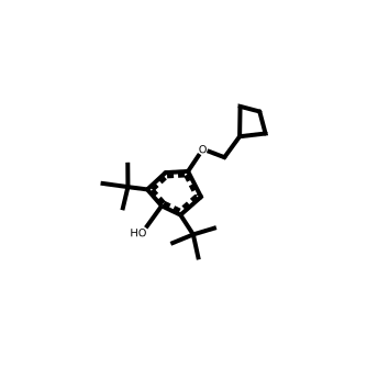 CC(C)(C)c1cc(OCC2CCC2)cc(C(C)(C)C)c1O